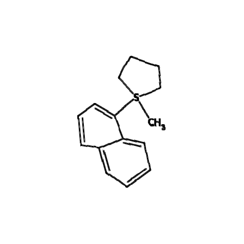 CS1(c2cccc3ccccc23)CCCC1